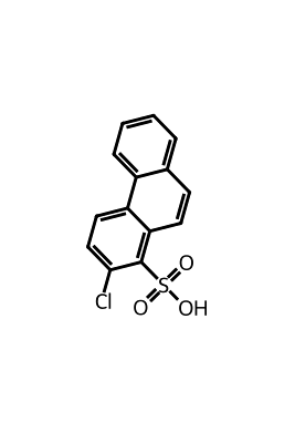 O=S(=O)(O)c1c(Cl)ccc2c1ccc1ccccc12